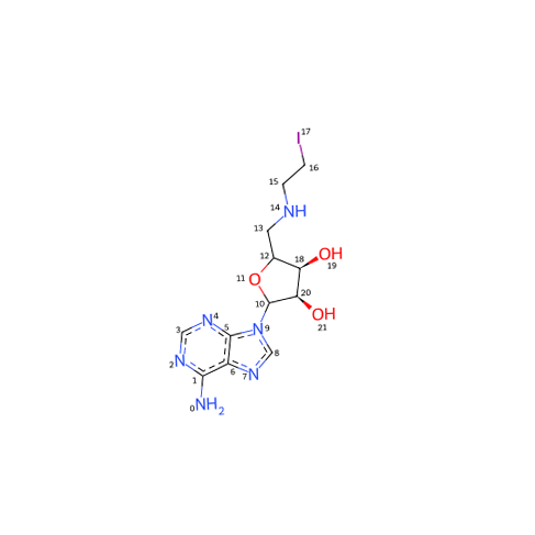 Nc1ncnc2c1ncn2C1OC(CNCCI)[C@@H](O)[C@H]1O